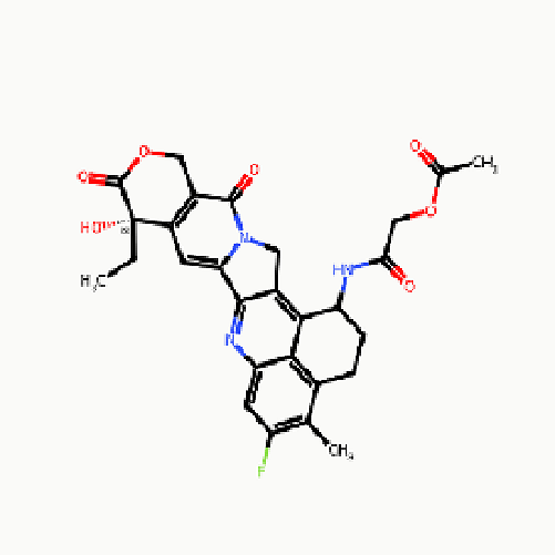 CC[C@@]1(O)C(=O)OCc2c1cc1n(c2=O)Cc2c-1nc1cc(F)c(C)c3c1c2C(NC(=O)COC(C)=O)CC3